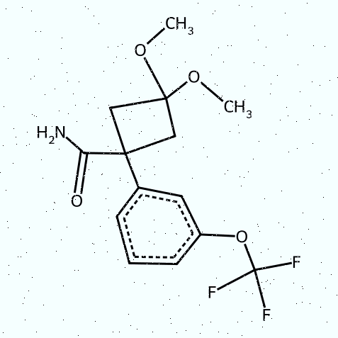 COC1(OC)CC(C(N)=O)(c2cccc(OC(F)(F)F)c2)C1